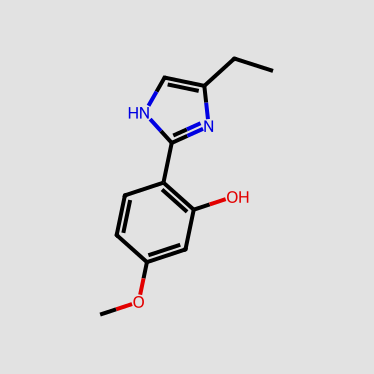 CCc1c[nH]c(-c2ccc(OC)cc2O)n1